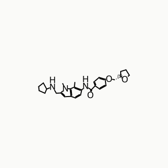 Cc1c(NC(=O)c2ccc(OC[C@@H]3CCCO3)cc2)ccc2cc(CNC3CCCC3)n(C)c12